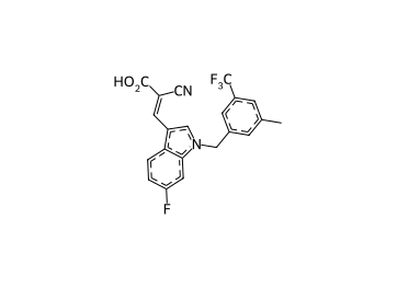 Cc1cc(Cn2cc(/C=C(\C#N)C(=O)O)c3ccc(F)cc32)cc(C(F)(F)F)c1